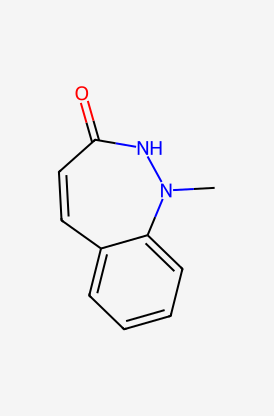 CN1NC(=O)C=Cc2ccccc21